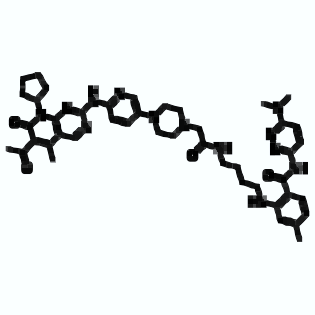 CC(=O)c1c(C)c2cnc(Nc3ccc(N4CCN(CC(=O)NCCCCNc5cc(C)ccc5C(=O)Nc5ccc(N(C)C)nn5)CC4)cn3)nc2n(C2CCCC2)c1=O